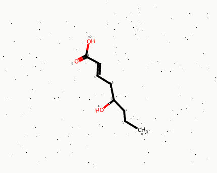 CCCC(O)CC=CC(=O)O